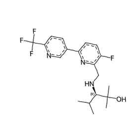 CC(C)[C@@H](NCc1nc(-c2ccc(C(F)(F)F)nc2)ccc1F)C(C)(C)O